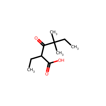 CCC(C(=O)O)C(=O)C(C)(C)CC